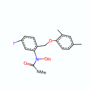 CNC(=O)N(O)c1cc(I)ccc1COc1ccc(C)cc1C